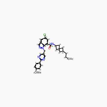 COc1ccc(-c2ncc(Cn3ncc4cc(Cl)cc(C(=O)NC5CC6(CC(CCOC(C)=O)C6)C5)c43)cn2)cc1